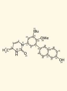 C=C1C=CN(c2cc(-c3ccc4cc(O)ccc4c3)c(OC)c(C(C)(C)C)c2)C(=O)N1